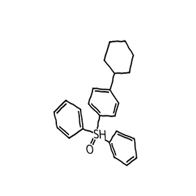 O=[SH](c1ccccc1)(c1ccccc1)c1ccc(C2CCCCC2)cc1